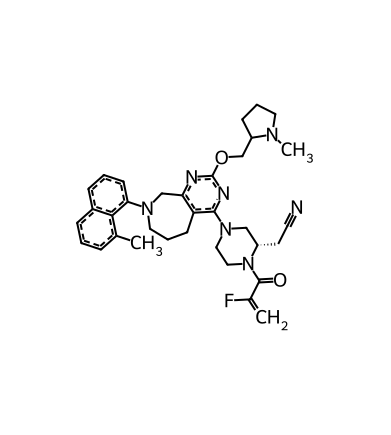 C=C(F)C(=O)N1CCN(c2nc(OCC3CCCN3C)nc3c2CCCN(c2cccc4cccc(C)c24)C3)C[C@@H]1CC#N